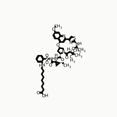 C=C[C@@H]1C[C@]1(NC(=O)[C@@H]1C[C@@H](Oc2cc(-c3csc(NC(C)C)n3)nc3cc(OC)ccc23)CN1C(=O)CC(C)(C)C)C(=O)NS(=O)(=O)c1ccccc1NCCCCCCCCC(=O)O